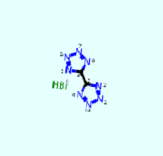 Br.N1=NC(C2N=NN=N2)N=N1